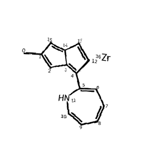 CC1=CC2=C(C3=CC=CC=CN3)C=CC2=C1.[Zr]